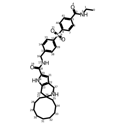 CCNC(=O)c1ccc(S(=O)(=O)c2ccc(CNC(=O)c3cc4c([nH]3)CC3(CCCCCCCCC3)NC4)cc2)cc1